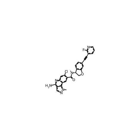 CN(C(=O)c1cc2c(cc1Cl)nc(N)c1cnn(C)c12)[C@@H]1COc2cc(C#Cc3cccnc3F)ccc21